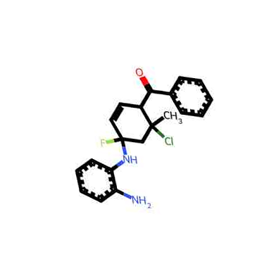 CC1(Cl)CC(F)(Nc2ccccc2N)C=CC1C(=O)c1ccccc1